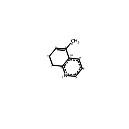 CC1=CCCc2ncccc21